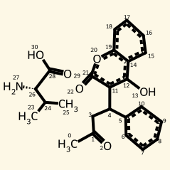 CC(=O)CC(c1ccccc1)c1c(O)c2ccccc2oc1=O.CC(C)[C@H](N)C(=O)O